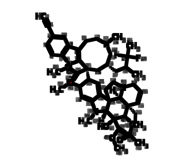 C#Cc1ccc2[nH]c3c(c2c1)CCN(C)C[C@H](CC(C)C(C)(F)F)C[C@]3(C(=O)OC)C1C=C2C(=CC1OC)N(C)[C@H]1[C@@](O)(C(=O)OC)[C@H](OC(C)=O)[C@]3(CC)C=CCN4CC[C@]21[C@@H]43